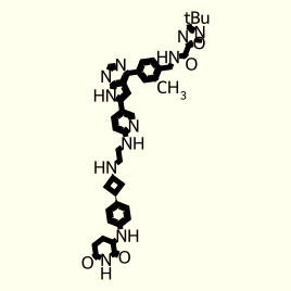 Cc1cc(-c2ncnc3[nH]c(-c4ccc(NCCN[C@H]5C[C@@H](c6ccc(NC7CCC(=O)NC7=O)cc6)C5)nc4)cc23)ccc1CNC(=O)c1nc(C(C)(C)C)no1